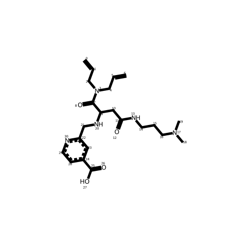 C=CCN(CC=C)C(=O)C(CC(=O)NCCCN(C)C)NCc1cc(C(=O)O)ccn1